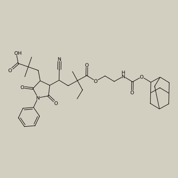 CCC(C)(CC(C#N)C1C(=O)N(c2ccccc2)C(=O)C1CC(C)(C)C(=O)O)C(=O)OCCNC(=O)OC1C2CC3CC(C2)CC1C3